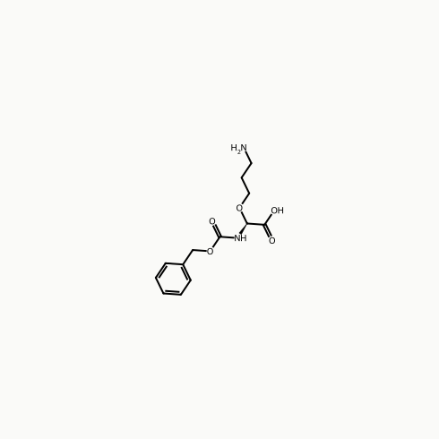 NCCCO[C@H](NC(=O)OCc1ccccc1)C(=O)O